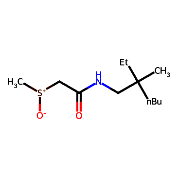 CCCCC(C)(CC)CNC(=O)C[S+](C)[O-]